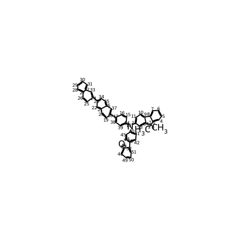 CC1(C)c2ccccc2-c2ccc(N(c3ccc(-c4ccc5cc(-c6ccc7ccccc7c6)ccc5c4)cc3)c3ccc4c(c3)oc3ccccc34)cc21